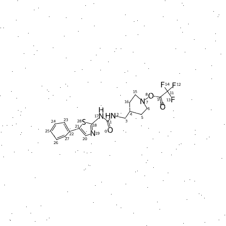 O=C(NCC1CCN(OC(=O)C(F)(F)F)CC1)Nc1ncc(-c2ccccc2)s1